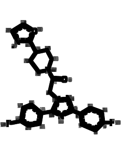 O=C(Cn1nc(-c2ccc(F)cc2)nc1-c1ccc(F)cc1)N1CCC(c2ncco2)CC1